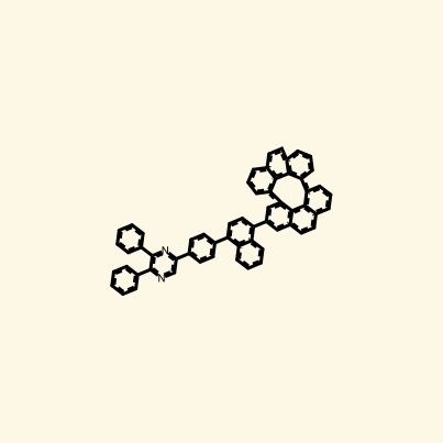 c1ccc(-c2ncc(-c3ccc(-c4ccc(-c5cc6ccc7cccc8c9cccc%10ccc%11cccc(c(c5)c6c78)c%11c%109)c5ccccc45)cc3)nc2-c2ccccc2)cc1